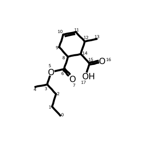 CCCC(C)OC(=O)C1CC=CC(C)C1C(=O)O